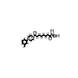 Cc1cccc(N2CCN(C(=O)CCCCCCC(=O)NO)CC2)c1